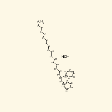 CCCCCCCCCCCCCCCCCCC(Cc1ccccc1)c1ccncc1.Cl